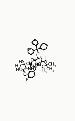 CC(C)(C)OC(=O)N[C@H](CSC(c1ccccc1)(c1ccccc1)c1ccccc1)C(=O)N[C@@H](Cc1ccc(F)cc1)C(=O)N[C@@H](C(=O)O)C(C)(C)S